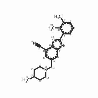 Cc1cccc(-c2nc3cc(CN4CCC(C)CC4)cc(C#N)c3o2)c1C